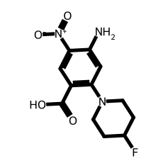 Nc1cc(N2CCC(F)CC2)c(C(=O)O)cc1[N+](=O)[O-]